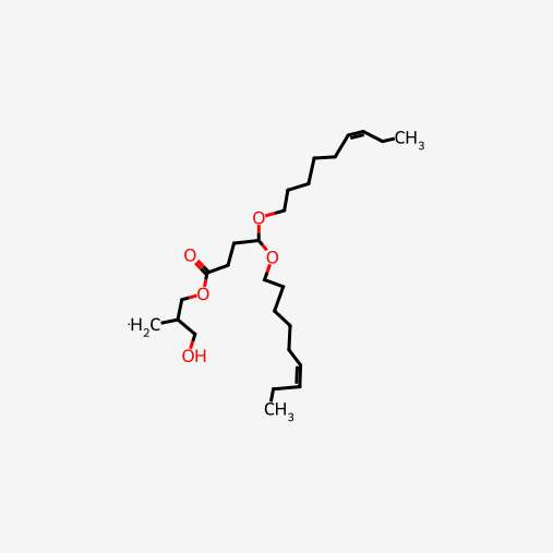 [CH2]C(CO)COC(=O)CCC(OCCCCC/C=C\CC)OCCCCC/C=C\CC